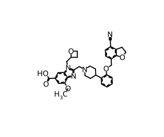 COc1cc(C(=O)O)cc2c1nc(CN1CCC(c3ccccc3OCc3ccc(C#N)c4c3OCC4)CC1)n2CC1CCO1